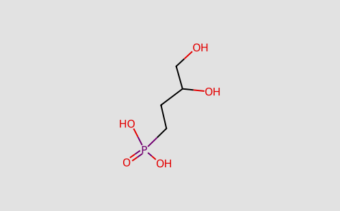 O=P(O)(O)CCC(O)CO